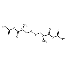 CCCC(=O)OC(=O)[C@@H](N)CSSC[C@H](N)C(=O)OC(=O)CCC